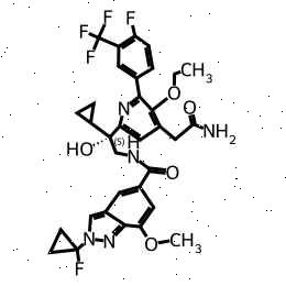 CCOc1c(CC(N)=O)cc([C@@](O)(CNC(=O)c2cc(OC)c3nn(C4(F)CC4)cc3c2)C2CC2)nc1-c1ccc(F)c(C(F)(F)F)c1